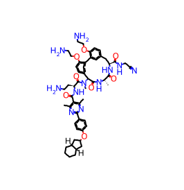 Cc1nc(-c2ccc(OC3C[C@H]4CCCC[C@H]4C3)cc2)nc(C)c1C(=O)N[C@@H](CCN)C(=O)N(C)[C@@H]1C(=O)N[C@@H](C)C(=O)N[C@H](C(=O)NCC#N)Cc2ccc(OCCN)c(c2)-c2cc1ccc2OCCN